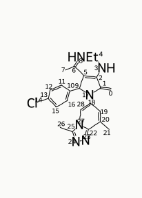 C=C1C(NCC)=C(C(C)=N)C(c2ccc(Cl)cc2)N1c1cc(C)c2nnc(C)n2c1